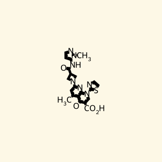 Cc1cc(N2CC(C(=O)Nc3ccnn3C)C2)nc2c1c(=O)c(C(=O)O)cn2-c1nccs1